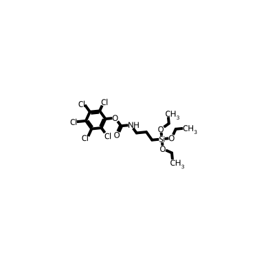 CCO[Si](CCCNC(=O)Oc1c(Cl)c(Cl)c(Cl)c(Cl)c1Cl)(OCC)OCC